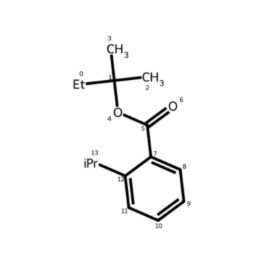 CCC(C)(C)OC(=O)c1ccccc1C(C)C